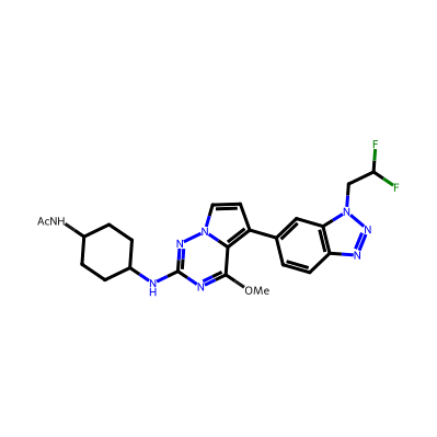 COc1nc(NC2CCC(NC(C)=O)CC2)nn2ccc(-c3ccc4nnn(CC(F)F)c4c3)c12